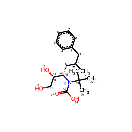 CC(Cc1ccccc1)C[C@@H]([C@H](O)CO)N(C(=O)O)C(C)(C)C